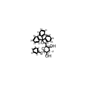 C[C@@H]1C(O)[C@@H](Sc2ccccc2)OC(COC(c2ccccc2)(c2ccccc2)c2ccccc2)[C@H]1O